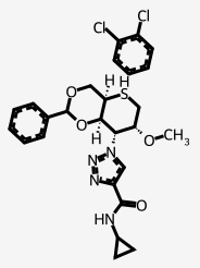 CO[C@H]1C[SH](c2ccc(Cl)c(Cl)c2)[C@@H]2COC(c3ccccc3)O[C@@H]2[C@H]1n1cc(C(=O)NC2CC2)nn1